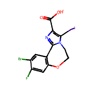 O=C(O)c1nc2n(c1I)CCOc1cc(F)c(Br)cc1-2